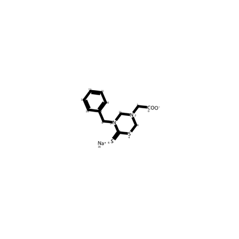 O=C([O-])CN1CSC(=S)N(Cc2ccccc2)C1.[Na+]